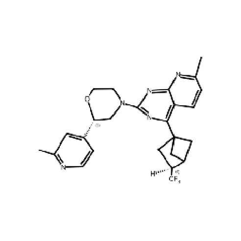 Cc1cc([C@H]2CN(c3nc(C45CC(C4)[C@@H](C(F)(F)F)C5)c4ccc(C)nc4n3)CCO2)ccn1